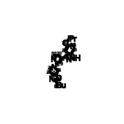 CCC(C)c1nc2c(o1)CN(c1cc(-c3n[nH]c4cnc(OC(C)C)cc34)ccn1)CC2